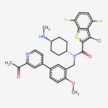 CN[C@H]1CC[C@H](N(Cc2cc(-c3ccnc(C(C)=O)c3)ccc2OC)C(=O)c2sc3c(F)ccc(F)c3c2Cl)CC1